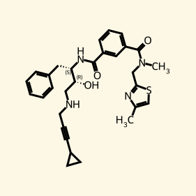 Cc1csc(CN(C)C(=O)c2cccc(C(=O)N[C@@H](Cc3ccccc3)[C@H](O)CNCC#CC3CC3)c2)n1